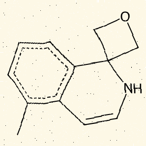 Cc1cccc2c1C=CNC21COC1